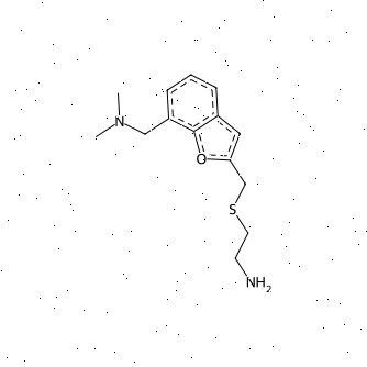 CN(C)Cc1cccc2cc(CSCCN)oc12